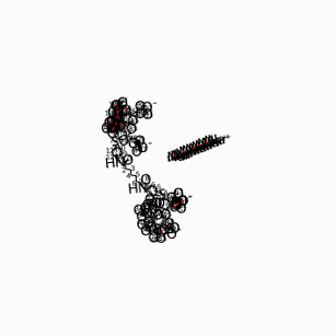 O=C(CCCCCC(=O)Nc1ccc(S[C@@H]2O[C@H](COS(=O)(=O)[O-])[C@@H](O[C@H]3O[C@H](COS(=O)(=O)[O-])[C@@H](OS(=O)(=O)[O-])[C@H](OS(=O)(=O)[O-])[C@H]3OS(=O)(=O)[O-])[C@H](OS(=O)(=O)[O-])[C@H]2OS(=O)(=O)[O-])cc1)Nc1ccc(S[C@@H]2O[C@H](COS(=O)(=O)[O-])[C@@H](O[C@H]3O[C@H](COS(=O)(=O)[O-])[C@@H](OS(=O)(=O)[O-])[C@H](OS(=O)(=O)[O-])[C@H]3OS(=O)(=O)[O-])[C@H](OS(=O)(=O)[O-])[C@H]2OS(=O)(=O)[O-])cc1.[Na+].[Na+].[Na+].[Na+].[Na+].[Na+].[Na+].[Na+].[Na+].[Na+].[Na+].[Na+].[Na+].[Na+]